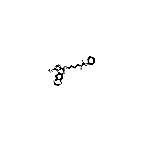 Cc1nnc2c(NCCCCNC(=O)Oc3ccccc3)nc3cc4c(cc3n12)OCCO4